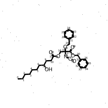 CCCCCCCC(O)CCC(=O)OCC(N=C=O)(OCc1ccccc1)C(=O)OCc1ccccc1